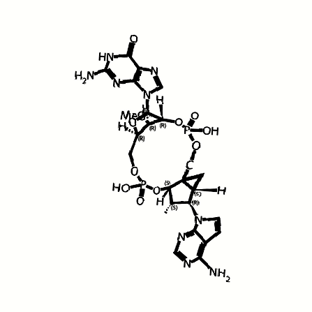 CO[C@H]1[C@H]2OP(=O)(O)OCC34C[C@@H]3[C@@H](n3ccc5c(N)ncnc53)[C@H](C)[C@@H]4OP(=O)(O)OC[C@H]1O[C@H]2n1cnc2c(=O)[nH]c(N)nc21